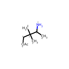 CC(=O)OCC(C)(C)C(C)N